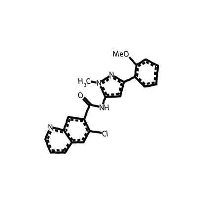 COc1ccccc1-c1cc(NC(=O)c2cc3ncccc3cc2Cl)n(C)n1